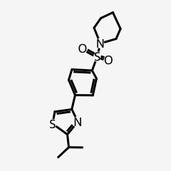 CC(C)c1nc(-c2ccc(S(=O)(=O)N3CCCCC3)cc2)cs1